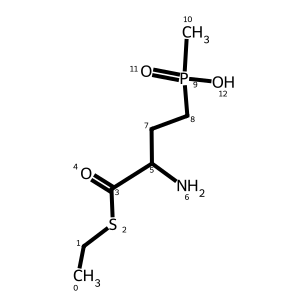 CCSC(=O)C(N)CCP(C)(=O)O